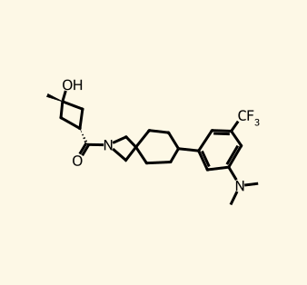 CN(C)c1cc(C2CCC3(CC2)CN(C(=O)[C@H]2C[C@@](C)(O)C2)C3)cc(C(F)(F)F)c1